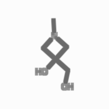 CN1CC(O)(CO)C1